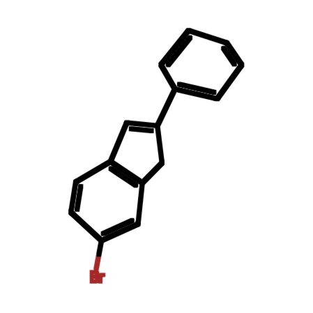 Brc1ccc2c(c1)CC(c1ccccc1)=C2